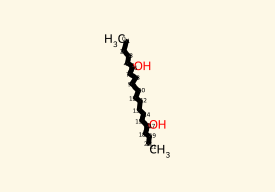 CCCCCC(O)CCCCCCCCCC(O)CCCC